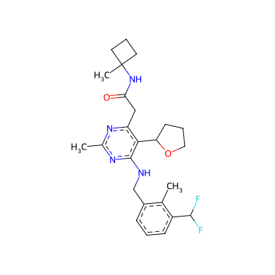 Cc1nc(CC(=O)NC2(C)CCC2)c(C2CCCO2)c(NCc2cccc(C(F)F)c2C)n1